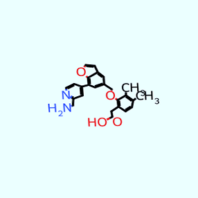 Cc1ccc(CC(=O)O)c(OCc2cc(-c3ccnc(CN)c3)c3occc3c2)c1C